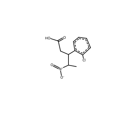 CC(C(CC(=O)O)c1ccccc1Cl)[N+](=O)[O-]